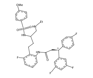 CCNCC(CCc1c(F)cccc1NC(=O)C[C@@H](c1ccc(F)cc1)c1cc(F)cc(F)c1)NS(=O)(=O)c1ccc(OC)cc1